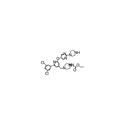 CCOC(=O)NN1CCN(Cc2cc(Oc3cnc(N4CCNCC4)nc3)nc(-c3cc(Cl)cc(Cl)c3)c2)CC1